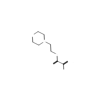 C=C(C)C(=O)NCCN1CCOCC1